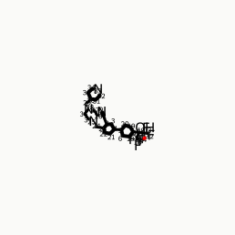 N#Cc1cc(-c2ccc(C(O)(C(F)(F)F)C(F)(F)F)cc2)ccc1CN1CCN(Cc2ccncc2)CC1